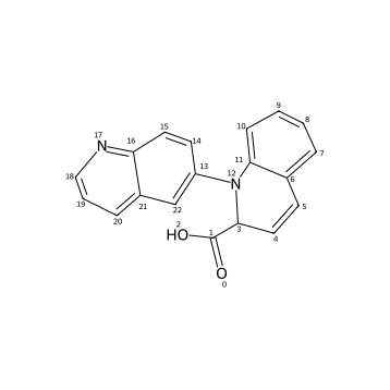 O=C(O)C1C=Cc2ccccc2N1c1ccc2ncccc2c1